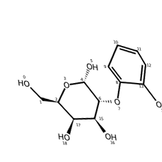 OC[C@H]1O[C@H](O)[C@H](Oc2ccccc2O)[C@@H](O)[C@H]1O